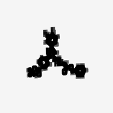 CC(C)(C)OC(=O)N1CCC(c2nc(-c3ccc(F)c(F)c3)cn2CCNCC(=O)OCc2ccccc2)CC1